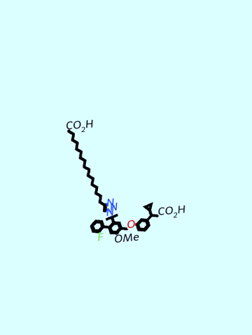 COc1cc(-c2ccccc2F)c(C(C)(C)n2cc(CCCCCCCCCCCCCCCCCC(=O)O)nn2)cc1COc1cccc(C(CC(=O)O)C2CC2)c1